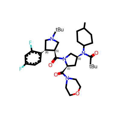 CC1CCC(N(C(=O)C(C)(C)C)[C@H]2C[C@@H](C(=O)N3CCOCC3)N(C(=O)[C@@H]3CN(C(C)(C)C)C[C@H]3c3ccc(F)cc3F)C2)CC1